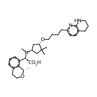 C[C@@H]1OCCc2cccc([C@H](C(=O)O)N(C)[C@H]3C[C@H](OCCCCc4ccc5c(n4)NCCC5)C(C)(C)C3)c21